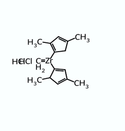 Cl.Cl.[CH2]=[Zr]([C]1=CC(C)=CC1C)[C]1=C(C)C=C(C)C1